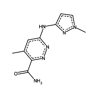 Cc1cc(Nc2ccn(C)n2)nnc1C(N)=O